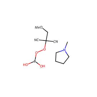 CN1CCCC1.COCC(C#N)(C#N)OOB(O)O